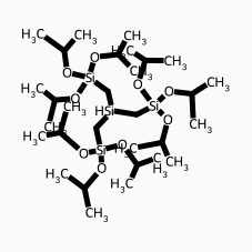 CC(C)O[Si](C[SiH](C[Si](OC(C)C)(OC(C)C)OC(C)C)C[Si](OC(C)C)(OC(C)C)OC(C)C)(OC(C)C)OC(C)C